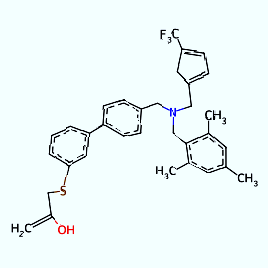 C=C(O)CSc1cccc(-c2ccc(CN(CC3=CC=C(C(F)(F)F)C3)Cc3c(C)cc(C)cc3C)cc2)c1